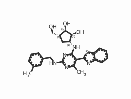 Cc1cccc(CNc2nc(C)c(-c3nc4ccccc4s3)c(N[C@@H]3C[C@H](CO)[C@@H](O)[C@H]3O)n2)c1